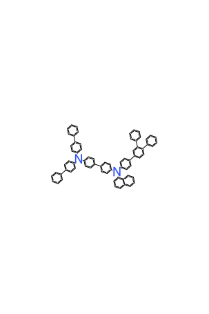 c1ccc(-c2ccc(N(c3ccc(-c4ccccc4)cc3)c3ccc(-c4ccc(N(c5ccc(-c6ccc(-c7ccccc7)c(-c7ccccc7)c6)cc5)c5cccc6ccccc56)cc4)cc3)cc2)cc1